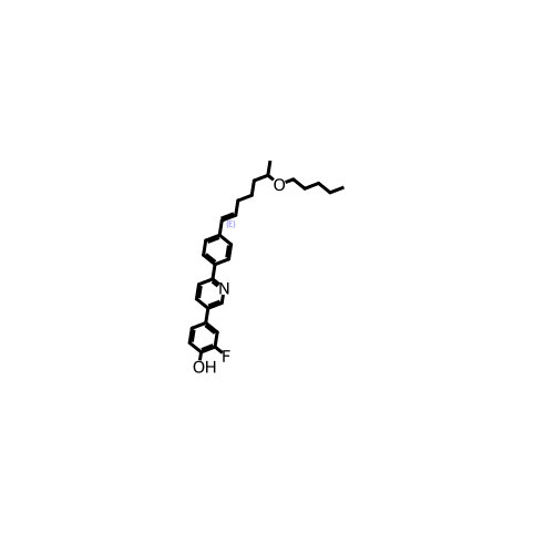 CCCCCOC(C)CCC/C=C/c1ccc(-c2ccc(-c3ccc(O)c(F)c3)cn2)cc1